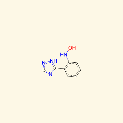 ONc1ccccc1-c1ncn[nH]1